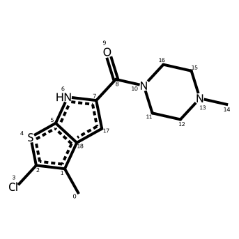 Cc1c(Cl)sc2[nH]c(C(=O)N3CCN(C)CC3)cc12